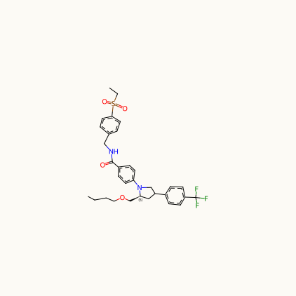 CCCCOC[C@@H]1CC(c2ccc(C(F)(F)F)cc2)CN1c1ccc(C(=O)NCc2ccc(S(=O)(=O)CC)cc2)cc1